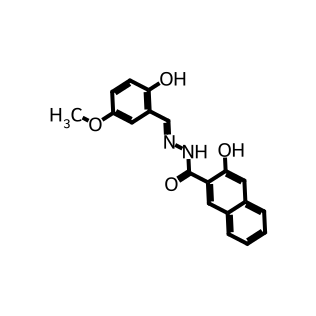 COc1ccc(O)c(/C=N/NC(=O)c2cc3ccccc3cc2O)c1